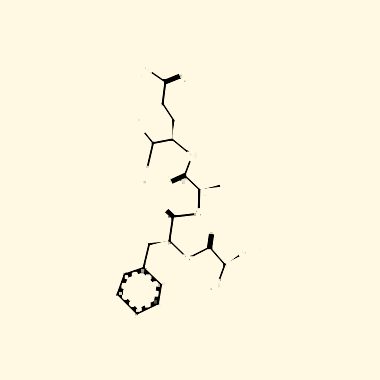 CC(=O)N[C@H](C(=O)N[C@@H](Cc1ccccc1)C(=O)N[C@H](C)C(=O)N[C@H](CCC(N)=O)C(O)C(F)(F)F)C(C)C